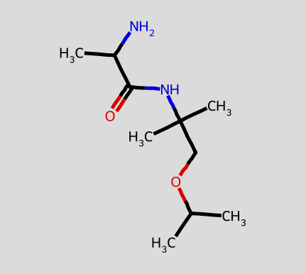 CC(C)OCC(C)(C)NC(=O)C(C)N